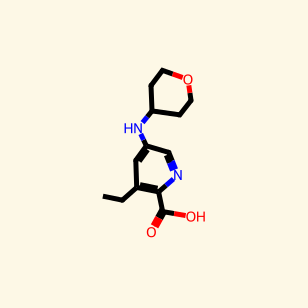 CCc1cc(NC2CCOCC2)cnc1C(=O)O